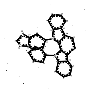 c1ccc(-n2c3ccccc3c3ccc4c5ccccc5n(-c5ccc6ocnc6c5)c4c32)cc1